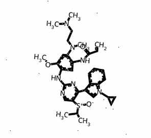 C=CC(=O)Nc1cc(Nc2ncc([S+]([O-])C(C)C)c(-c3cn(C4CC4)c4ccccc34)n2)c(OC)cc1N(C)CCN(C)C